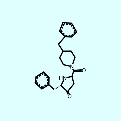 O=C1CC(C(=O)N2CCC(Cc3ccccc3)CC2)N[C@H]1Cc1ccccc1